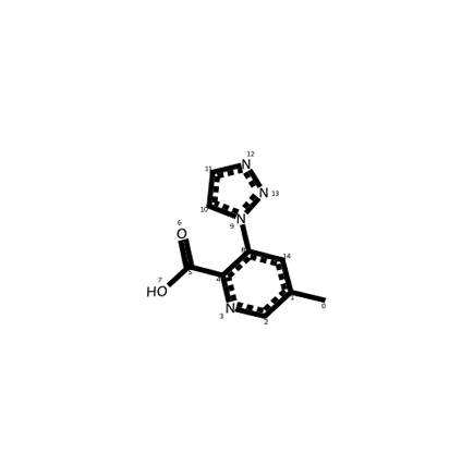 Cc1cnc(C(=O)O)c(-n2ccnn2)c1